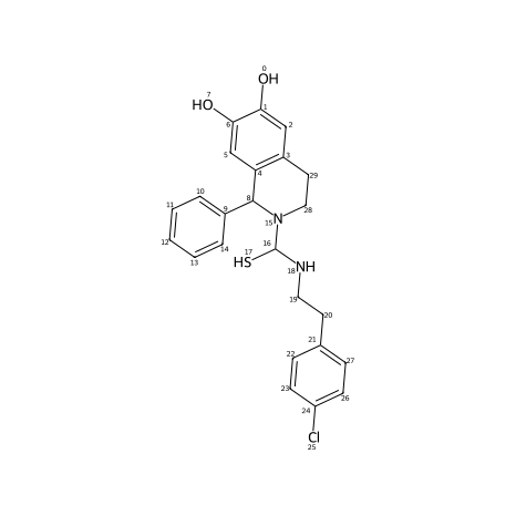 Oc1cc2c(cc1O)C(c1ccccc1)N(C(S)NCCc1ccc(Cl)cc1)CC2